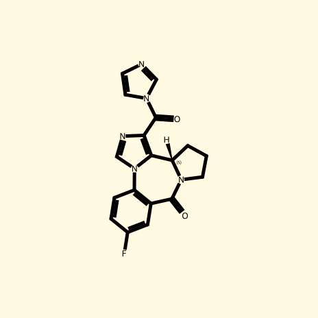 O=C1c2cc(F)ccc2-n2cnc(C(=O)n3ccnc3)c2[C@@H]2CCCN12